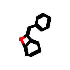 C(=C1Oc2ccccc21)c1ccccc1